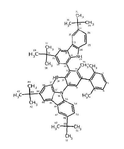 Cc1cccc(C)c1-c1cc2c(c(-c3cc(C(C)(C)C)cc4c3[nH]c3ccc(C(C)(C)C)cc34)c1C)Bc1cc(C(C)(C)C)cc3c4cc(C(C)(C)C)ccc4n-2c13